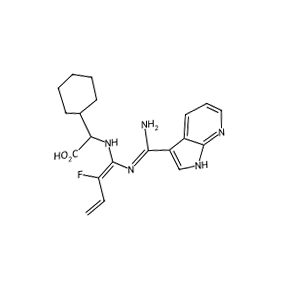 C=C/C(F)=C(\N=C(/N)c1c[nH]c2ncccc12)NC(C(=O)O)C1CCCCC1